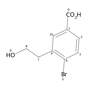 O=C(O)c1ccc(Br)c(CCO)c1